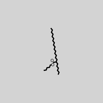 CCCCCCCCCCCCCCCCC(CCCCCC)C(=O)OCCCCC